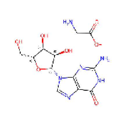 NCC(=O)O.Nc1nc2c(ncn2[C@@H]2O[C@H](CO)[C@@H](O)[C@H]2O)c(=O)[nH]1